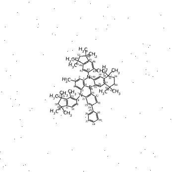 Cc1cc2c3c(c1)N(c1ccc4c(c1C)C(C)(C)CC4(C)C)c1cc(-c4ccccc4)ccc1B3c1cc3c(cc1N2c1cc2c(cc1C)C(C)(C)CC2(C)C)C(C)(C)CCC3(C)C